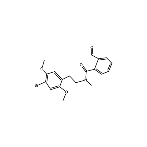 COc1cc(CCN(C)C(=O)c2ccccc2C=O)c(OC)cc1Br